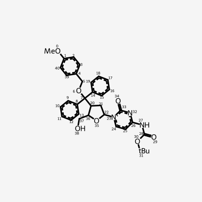 COc1ccc(COC(c2ccccc2)(c2ccccc2)C2CC(n3ccc(NC(=O)OC(C)(C)C)nc3=O)OC2CO)cc1